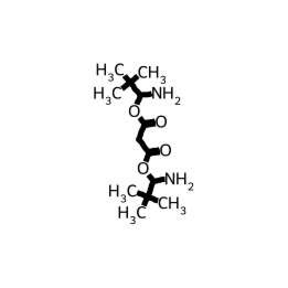 CC(C)(C)C(N)OC(=O)CC(=O)OC(N)C(C)(C)C